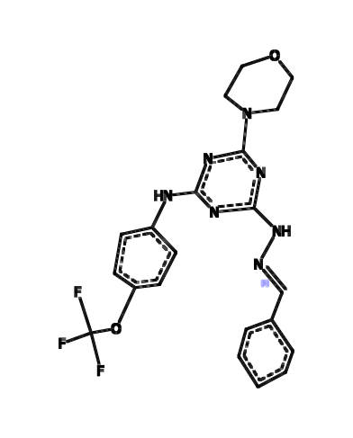 FC(F)(F)Oc1ccc(Nc2nc(N/N=C/c3ccccc3)nc(N3CCOCC3)n2)cc1